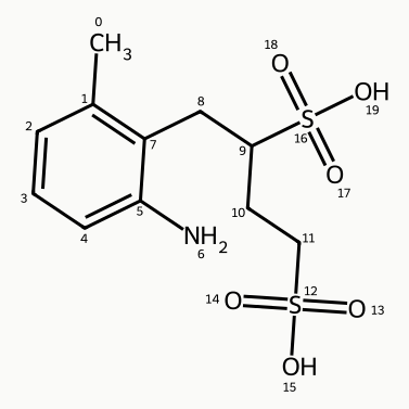 Cc1cccc(N)c1CC(CCS(=O)(=O)O)S(=O)(=O)O